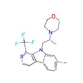 Cc1ccc2c3ccnc(C(F)(F)F)c3n(CC(C)N3CCOCC3)c2c1